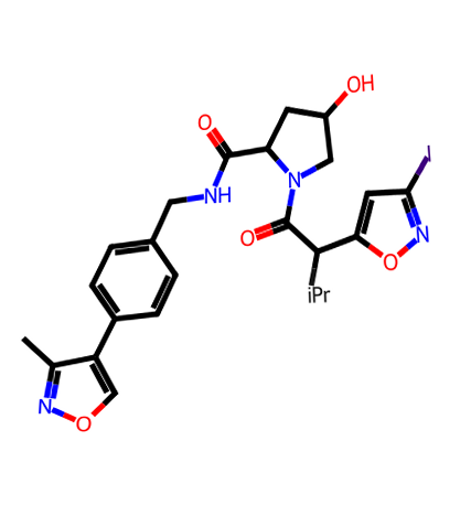 Cc1nocc1-c1ccc(CNC(=O)C2CC(O)CN2C(=O)C(c2cc(I)no2)C(C)C)cc1